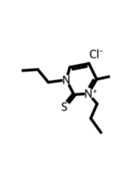 CCCn1ccc(C)[n+](CCC)c1=S.[Cl-]